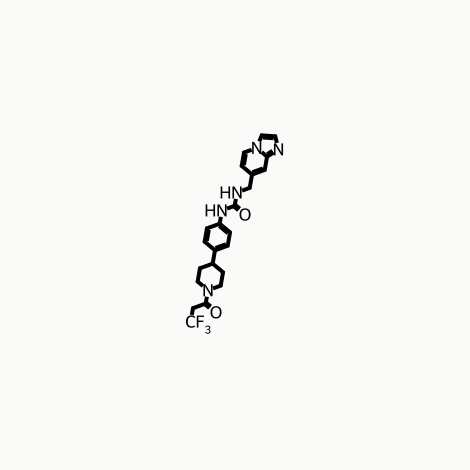 O=C(NCc1ccn2ccnc2c1)Nc1ccc(C2CCN(C(=O)CC(F)(F)F)CC2)cc1